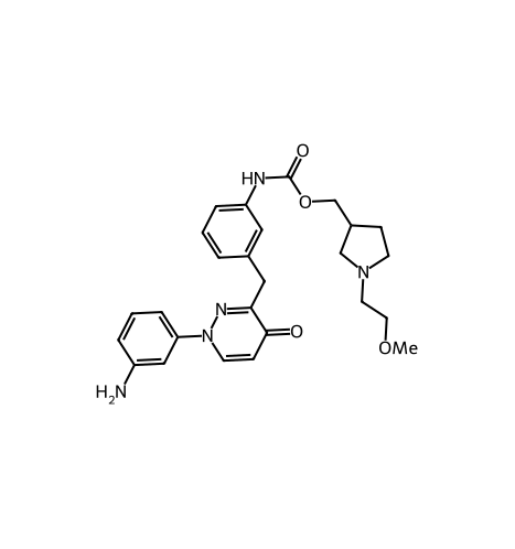 COCCN1CCC(COC(=O)Nc2cccc(Cc3nn(-c4cccc(N)c4)ccc3=O)c2)C1